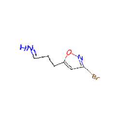 N=CCCc1cc(Br)no1